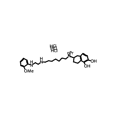 CCCN(CCCCCCCNCCNc1ccccc1OC)C1CCc2c(ccc(O)c2O)C1.Cl.Cl.Cl